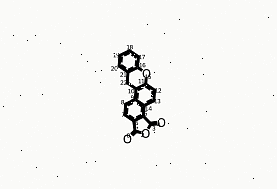 O=C1OC(=O)c2c1ccc1c3c(ccc21)Oc1ccccc1C3